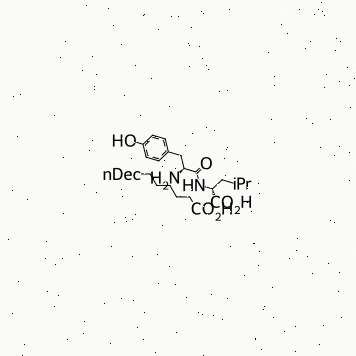 CC(C)C[C@H](NC(=O)[C@@H](N)Cc1ccc(O)cc1)C(=O)O.CCCCCCCCCCCCCCCC(=O)O